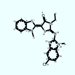 CCN1C(=O)/C(=C2\Sc3ccccc3N2C)S/C1=N\c1sc2cc(Cl)ccc2[n+]1C